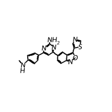 CNc1ccc(-c2cc(-c3ccc4noc(-c5cncs5)c4c3)nc(N)n2)cc1